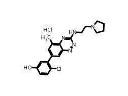 Cc1cc(-c2cc(O)ccc2Cl)cc2nnc(NCCN3CCCC3)nc12.Cl